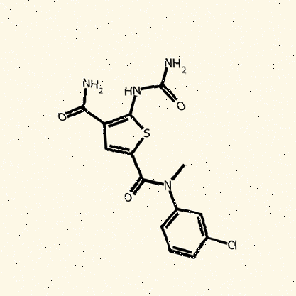 CN(C(=O)c1cc(C(N)=O)c(NC(N)=O)s1)c1cccc(Cl)c1